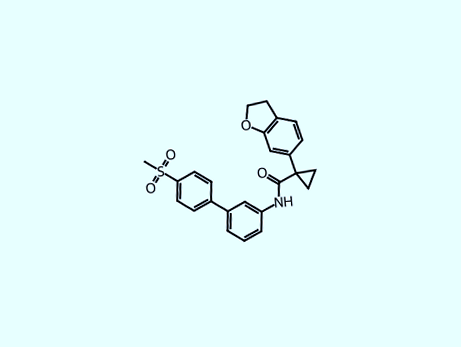 CS(=O)(=O)c1ccc(-c2cccc(NC(=O)C3(c4ccc5c(c4)OCC5)CC3)c2)cc1